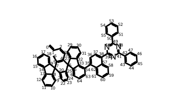 C=C/C=C\C1=C(C)C2(c3ccccc3-c3ccccc32)c2ccccc2C12c1ccccc1-c1c(-c3ccc(-c4nc(-c5ccccc5)nc(-c5ccccc5)n4)c4ccccc34)cccc12